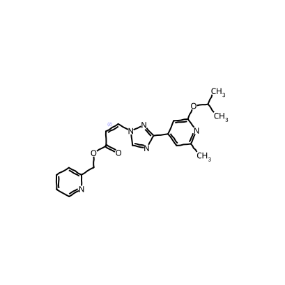 Cc1cc(-c2ncn(/C=C\C(=O)OCc3ccccn3)n2)cc(OC(C)C)n1